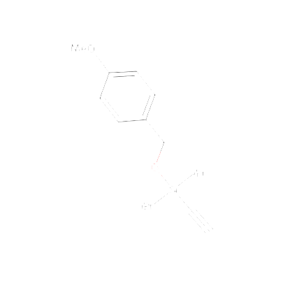 C#C[Si](OCc1ccc(OC)cc1)(C(C)C)C(C)C